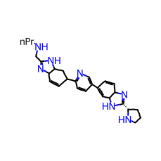 CCCNCC1=NC2C=CC(c3ccc(C4=CC5NC([C@@H]6CCCN6)=NC5C=C4)cn3)CC2N1